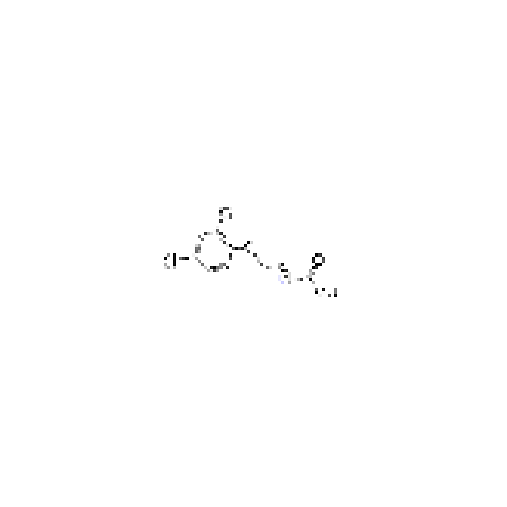 O=C(O)/C=C/COc1ccc(Cl)cc1Cl